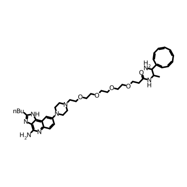 CCCCc1nc2c(N)nc3ccc(N4CCN(CCOCCOCCOCCOCCC(=O)NC(C)C(N)c5ccccccccc5)CC4)cc3c2[nH]1